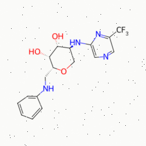 O[C@@H]1[C@H](O)[C@@H](Nc2cncc(C(F)(F)F)n2)CO[C@@H]1CNc1ccccc1